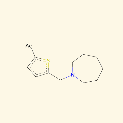 CC(=O)c1ccc(CN2CCCCCC2)s1